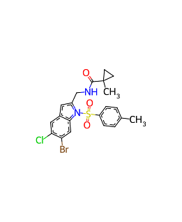 Cc1ccc(S(=O)(=O)n2c(CNC(=O)C3(C)CC3)cc3cc(Cl)c(Br)cc32)cc1